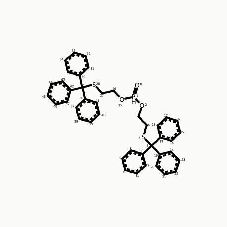 O=[PH](OCCSC(c1ccccc1)(c1ccccc1)c1ccccc1)OCCSC(c1ccccc1)(c1ccccc1)c1ccccc1